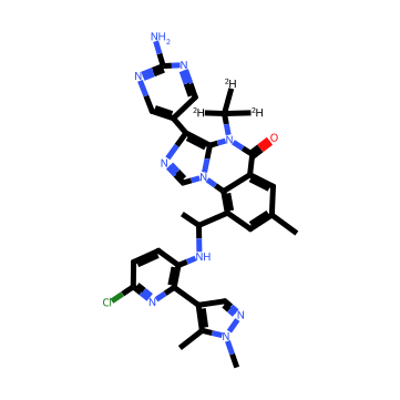 [2H]C([2H])([2H])n1c(=O)c2cc(C)cc(C(C)Nc3ccc(Cl)nc3-c3cnn(C)c3C)c2n2cnc(-c3cnc(N)nc3)c12